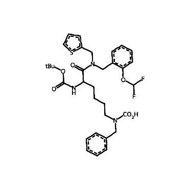 CC(C)(C)OC(=O)NC(CCCCN(Cc1ccccc1)C(=O)O)C(=O)N(Cc1cccs1)Cc1ccccc1OC(F)F